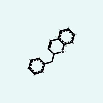 C1=CC(Cc2ccccc2)Nc2ccccc21